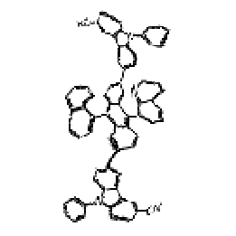 N#Cc1ccc2c(c1)c1cc(-c3ccc4c(-c5cccc6cccnc56)c5cc(-c6ccc7c(c6)c6cc(C#N)ccc6n7-c6ccccc6)ccc5c(-c5cccc6ccccc56)c4c3)ccc1n2-c1ccccc1